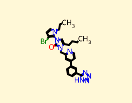 CCCCc1cn(-c2c(Br)ccn2CCC)c(=O)n1Cc1cc(-c2cccc(-c3nnn[nH]3)c2)ccn1